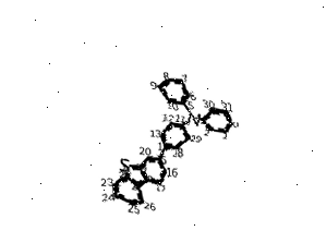 c1ccc(N(c2ccccc2)c2ccc(-c3ccc4c(c3)sc3ccccc34)cc2)cc1